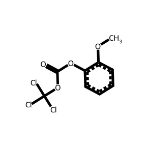 COc1ccccc1OC(=O)OC(Cl)(Cl)Cl